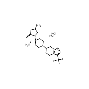 CC1CC(=O)N([C@]2(CN)CC[C@H](N3CCn4c(nnc4C(F)(F)F)C3)CC2)C1.Cl.Cl